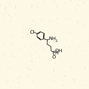 NC(CCC[PH](=O)O)c1ccc(Cl)cc1